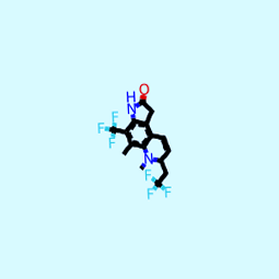 Cc1c2c(c3c(c1C(F)(F)F)NC(=O)C3)C=CC(CC(F)(F)F)N2C